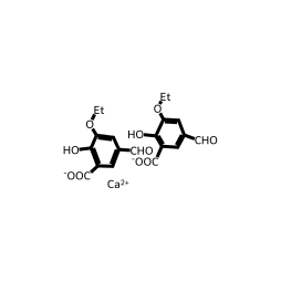 CCOc1cc(C=O)cc(C(=O)[O-])c1O.CCOc1cc(C=O)cc(C(=O)[O-])c1O.[Ca+2]